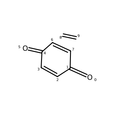 O=C1C=CC(=O)C=C1.[C]=C